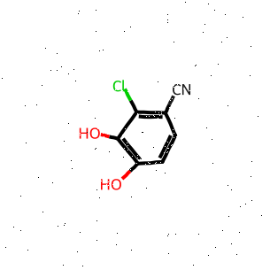 N#Cc1ccc(O)c(O)c1Cl